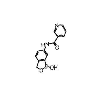 O=C(Nc1ccc2c(c1)B(O)OC2)c1cccnc1